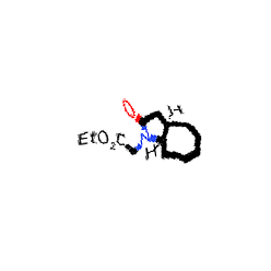 CCOC(=O)CN1C(=O)C[C@H]2CCCCC[C@H]21